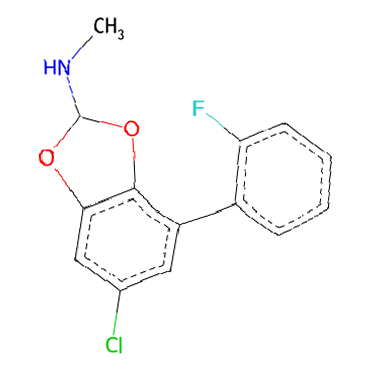 CNC1Oc2cc(Cl)cc(-c3ccccc3F)c2O1